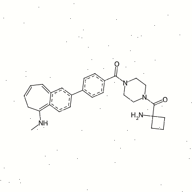 CNC1=c2ccc(-c3ccc(C(=O)N4CCN(C(=O)C5(N)CCC5)CC4)cc3)cc2=CC=CC1